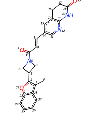 Cc1c(C2CN(C(=O)/C=C/c3cnc4c(c3)CCC(=O)N4)C2)oc2ccccc12